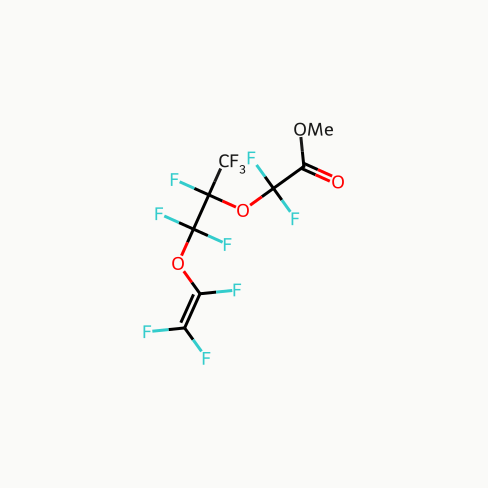 COC(=O)C(F)(F)OC(F)(C(F)(F)F)C(F)(F)OC(F)=C(F)F